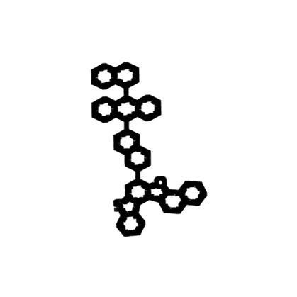 c1ccc2c(-c3c4ccccc4c(-c4ccc5cc(-c6cc7sc8ccccc8c7c7c6oc6c8ccccc8ccc67)ccc5c4)c4ccccc34)cccc2c1